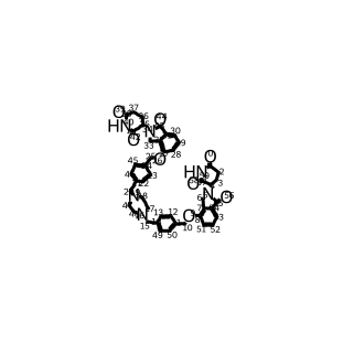 O=C1CCC(N2Cc3c(OCc4ccc(CN5CCN(Cc6ccc(COc7cccc8c7CN(C7CCC(=O)NC7=O)C8=O)cc6)CC5)cc4)cccc3C2=O)C(=O)N1